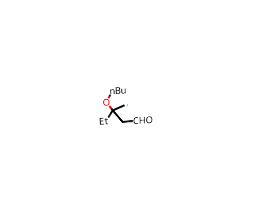 [CH2]C(CC)(CC=O)OCCCC